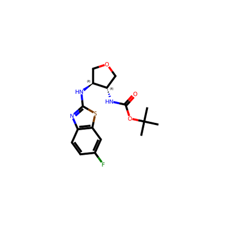 CC(C)(C)OC(=O)N[C@H]1COC[C@@H]1Nc1nc2ccc(F)cc2s1